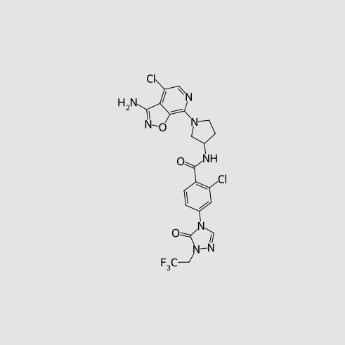 Nc1noc2c(N3CCC(NC(=O)c4ccc(-n5cnn(CC(F)(F)F)c5=O)cc4Cl)C3)ncc(Cl)c12